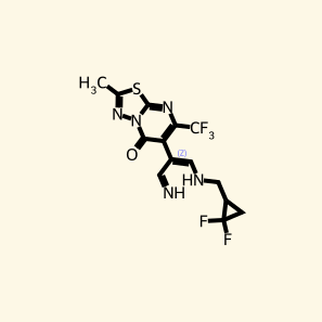 Cc1nn2c(=O)c(/C(C=N)=C/NCC3CC3(F)F)c(C(F)(F)F)nc2s1